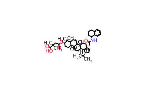 C=C(C)[C@@H]1CC[C@]2(CC(=O)NC3CCCc4ccccc43)CC[C@]3(C)[C@H](CCC4[C@@]5(C)CC[C@H](OC(=O)CC(C)(C)C(=O)O)C(C)(C)C5CC[C@]43C)[C@@H]12